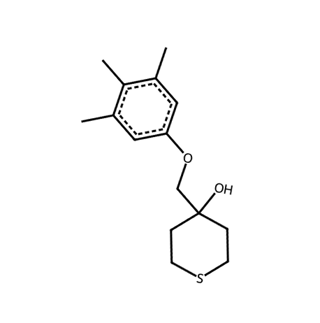 Cc1cc(OCC2(O)CCSCC2)cc(C)c1C